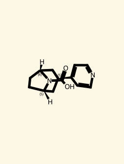 O=C(O)N1[C@@H]2CC[C@H]1C[C@H](c1ccncc1)C2